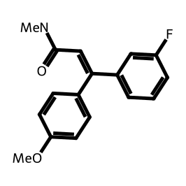 CNC(=O)/C=C(\c1ccc(OC)cc1)c1cccc(F)c1